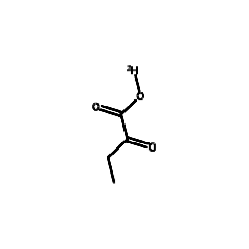 [2H]OC(=O)C(=O)CC